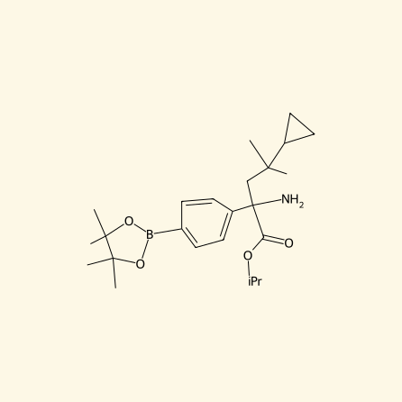 CC(C)OC(=O)C(N)(CC(C)(C)C1CC1)c1ccc(B2OC(C)(C)C(C)(C)O2)cc1